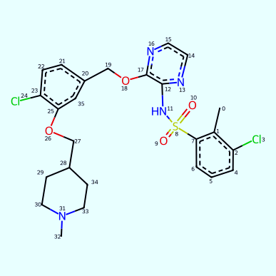 Cc1c(Cl)cccc1S(=O)(=O)Nc1nccnc1OCc1ccc(Cl)c(OCC2CCN(C)CC2)c1